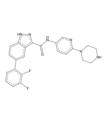 O=C(Nc1ccc(N2CCNCC2)nc1)c1n[nH]c2ccc(-c3cccc(F)c3F)cc12